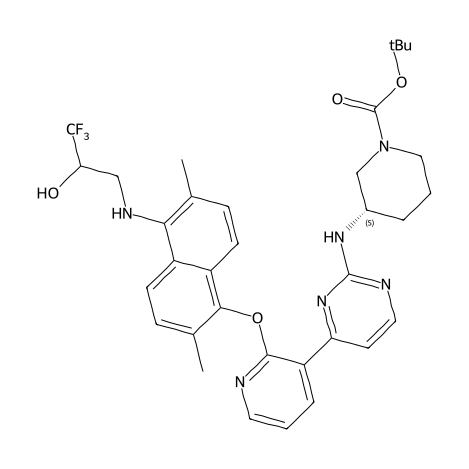 Cc1ccc2c(Oc3ncccc3-c3ccnc(N[C@H]4CCCN(C(=O)OC(C)(C)C)C4)n3)c(C)ccc2c1NCC(O)C(F)(F)F